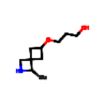 CC(C)(C)C1NCC12CC(OCCCO)C2